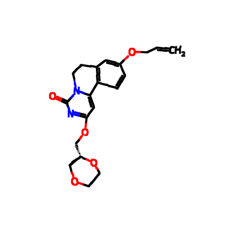 C=CCOc1ccc2c(c1)CCn1c-2cc(OC[C@H]2COCCO2)nc1=O